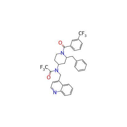 O=C(c1cccc(C(F)(F)F)c1)N1CCC(N(Cc2ccnc3ccccc23)C(=O)C(F)(F)F)CC1Cc1ccccc1